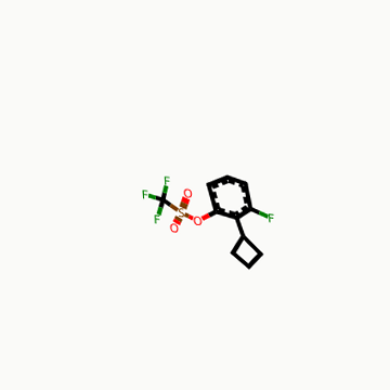 O=S(=O)(Oc1cccc(F)c1C1CCC1)C(F)(F)F